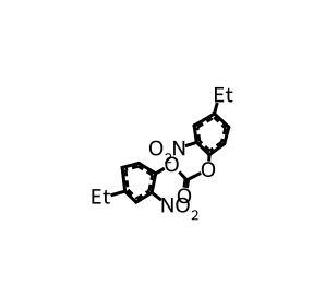 CCc1ccc(OC(=O)Oc2ccc(CC)cc2[N+](=O)[O-])c([N+](=O)[O-])c1